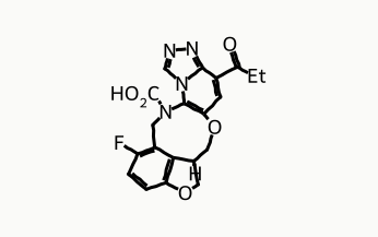 CCC(=O)c1cc2c(n3cnnc13)N(C(=O)O)Cc1c(F)ccc3c1[C@@H](CO3)CO2